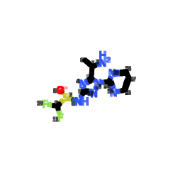 CC(N)c1nc(N[S+]([O-])C(F)F)nn1-c1ncccn1